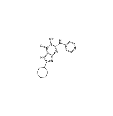 CCCn1c(Nc2ccccc2)nc2nc(C3CCCCC3)[nH]c2c1=O